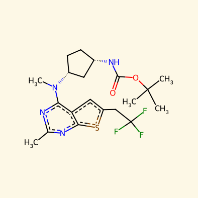 Cc1nc(N(C)[C@@H]2CC[C@H](NC(=O)OC(C)(C)C)C2)c2cc(CC(F)(F)F)sc2n1